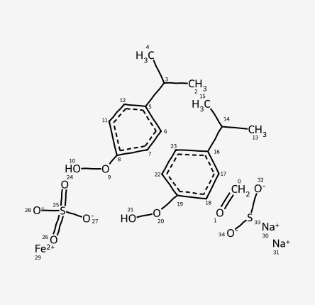 C=O.CC(C)c1ccc(OO)cc1.CC(C)c1ccc(OO)cc1.O=S(=O)([O-])[O-].[Fe+2].[Na+].[Na+].[O-]S[O-]